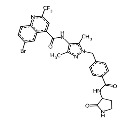 Cc1nn(Cc2ccc(C(=O)NC3CCNC3=O)cc2)c(C)c1NC(=O)c1cc(C(F)(F)F)nc2ccc(Br)cc12